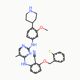 COc1cc(Nc2ncc(C)c(Nc3cccc(OCc4ccccc4F)c3C#N)n2)ccc1C1CCNCC1